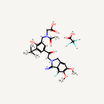 COc1cc2c(c(F)c1OC)C(=N)N(CC(=O)c1cc(CN(CC(=O)O)C(C)=O)c(O)c(C(C)(C)C)c1)C2.O=C(O)C(F)(F)F